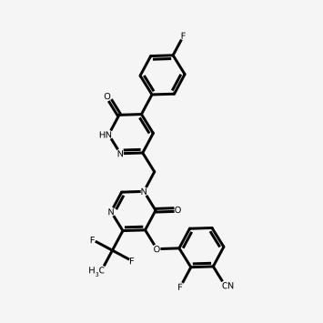 CC(F)(F)c1ncn(Cc2cc(-c3ccc(F)cc3)c(=O)[nH]n2)c(=O)c1Oc1cccc(C#N)c1F